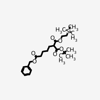 CC(C)(C)OC(=O)C(CCCCC(=O)OCc1ccccc1)C(=O)OCC[Si](C)(C)C